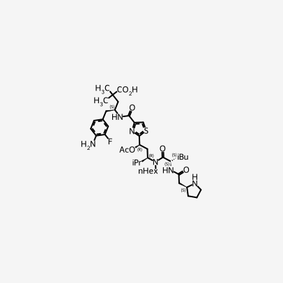 CCCCCCN(C(=O)[C@@H](NC(=O)C[C@@H]1CCCN1)[C@@H](C)CC)[C@H](C[C@@H](OC(C)=O)c1nc(C(=O)N[C@@H](Cc2ccc(N)c(F)c2)CC(C)(C)C(=O)O)cs1)C(C)C